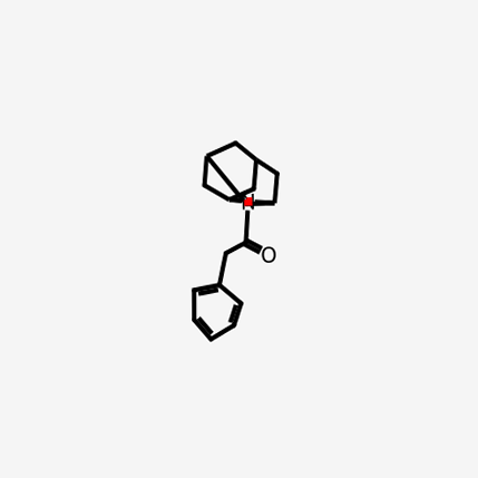 O=C(Cc1ccccc1)N1C2CC3CC(C2)CC1C3